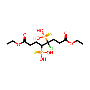 CCOC(=O)CCC(C(Cl)(CCC(=O)OCC)P(O)(O)=S)P(O)(O)=S